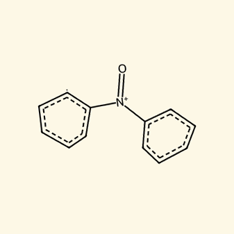 O=[N+](c1[c]cccc1)c1ccccc1